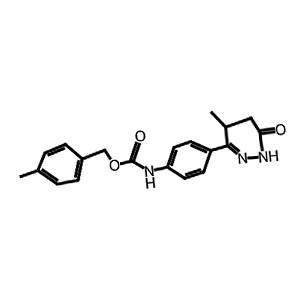 Cc1ccc(COC(=O)Nc2ccc(C3=NNC(=O)CC3C)cc2)cc1